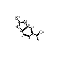 CC(=O)c1ccc2oc(S)nc2c1